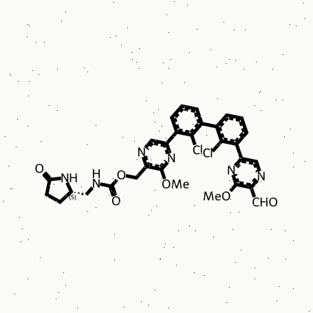 COc1nc(-c2cccc(-c3cccc(-c4cnc(COC(=O)NC[C@@H]5CCC(=O)N5)c(OC)n4)c3Cl)c2Cl)cnc1C=O